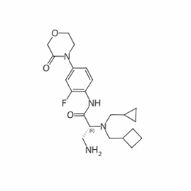 NC[C@H](C(=O)Nc1ccc(N2CCOCC2=O)cc1F)N(CC1CCC1)CC1CC1